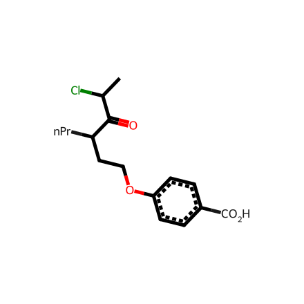 CCCC(CCOc1ccc(C(=O)O)cc1)C(=O)C(C)Cl